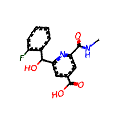 CNC(=O)c1cc(C(=O)O)cc(C(O)c2ccccc2F)n1